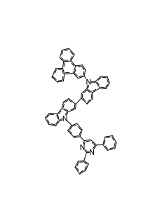 c1ccc(-c2cc(-c3ccc(-n4c5ccccc5c5ccc(-c6ccc7c8ccccc8n(-c8ccc9c%10ccccc%10c%10ccccc%10c9c8)c7c6)cc54)cc3)nc(-c3ccccc3)n2)cc1